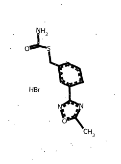 Br.Cc1nc(-c2cccc(CSC(N)=O)c2)no1